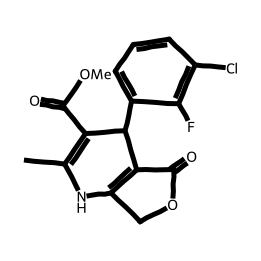 COC(=O)C1=C(C)NC2=C(C(=O)OC2)C1c1cccc(Cl)c1F